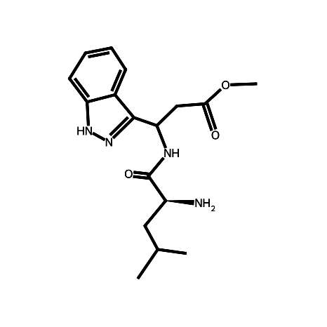 COC(=O)CC(NC(=O)[C@@H](N)CC(C)C)c1n[nH]c2ccccc12